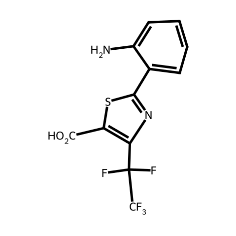 Nc1ccccc1-c1nc(C(F)(F)C(F)(F)F)c(C(=O)O)s1